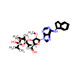 CO[C@H]1[C@H](O[Si](O[Si](O)(C(C)C)C(C)C)(C(C)C)C(C)C)[C@H](CO)O[C@H]1n1cnc2c(N[C@H]3CCc4ccccc43)ncnc21